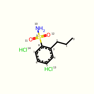 CCCc1ccccc1S(N)(=O)=O.Cl.Cl